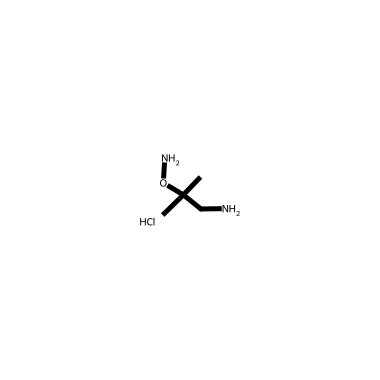 CC(C)(CN)ON.Cl